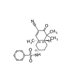 CC1(C)C(=O)C(C#N)=C[C@]2(C)C[C@@H](NS(=O)(=O)c3ccccc3)CC[C@@H]12